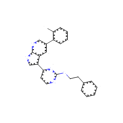 CCc1ccccc1-c1cnc2[nH]cc(-c3ccnc(NCCc4ccccc4)n3)c2c1